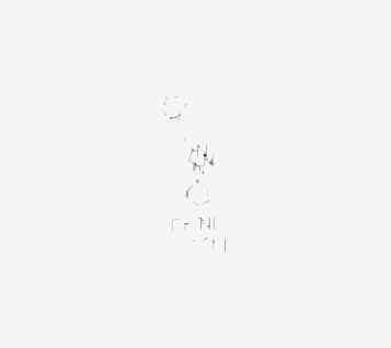 CCC(NC(=O)C(F)(F)F)c1ccc(-n2cc(CCc3ccccc3)nn2)cc1